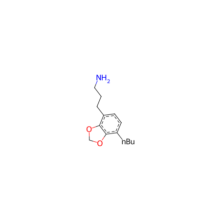 CCCCc1ccc(CCCN)c2c1OCO2